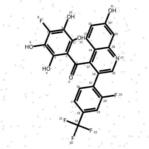 O=C(c1c(O)c(O)c(F)c(O)c1O)c1c(-c2ccc(C(F)(F)F)cc2F)cnc2cc(O)ccc12